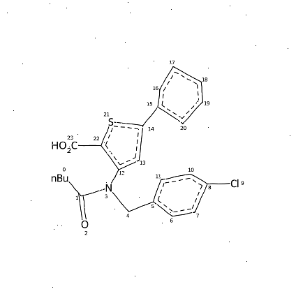 CCCCC(=O)N(Cc1ccc(Cl)cc1)c1cc(-c2ccccc2)sc1C(=O)O